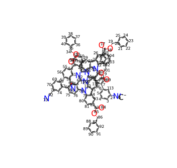 [C-]#[N+]c1cccc(-c2ccc(-n3c4ccc(C(=O)OCc5ccccc5)cc4c4cc(C(=O)OCc5ccccc5)ccc43)c(-c3nc(-c4ccccc4-c4cccc(C#N)c4)nc(-c4cc(-c5cccc(C#N)c5)ccc4-n4c5ccc(C(=O)OCc6ccccc6)cc5c5cc(C(=O)OCc6ccccc6)ccc54)n3)c2)c1